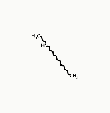 CCCCC=CCCCCCCCNCCCC